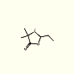 CCC1NC(C)(C)C(=O)O1